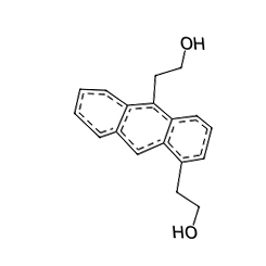 OCCc1cccc2c(CCO)c3ccccc3cc12